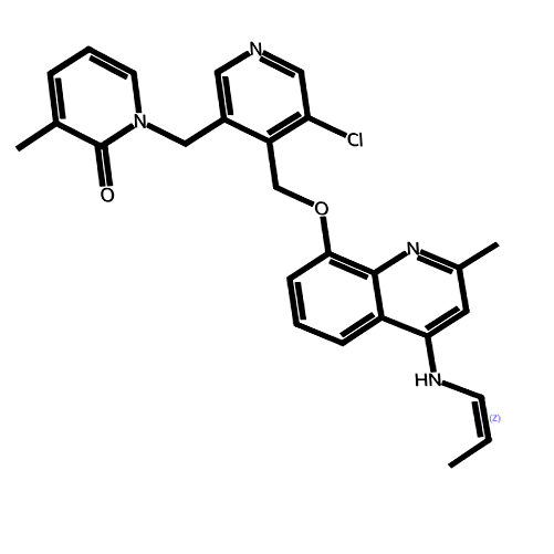 C/C=C\Nc1cc(C)nc2c(OCc3c(Cl)cncc3Cn3cccc(C)c3=O)cccc12